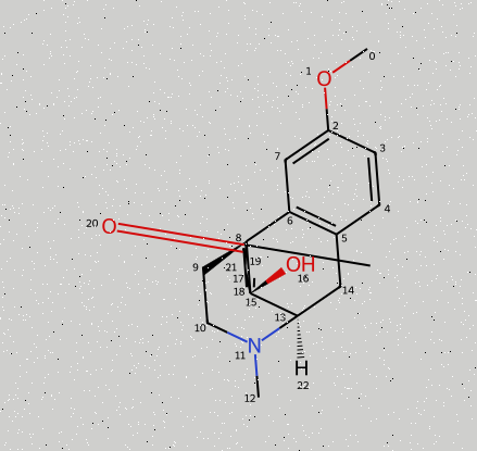 COc1ccc2c(c1)[C@]13CCN(C)[C@H](C2)[C@]1(O)C=CC(=O)C3